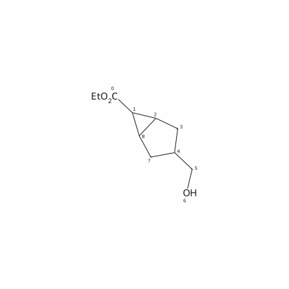 CCOC(=O)C1C2CC(CO)CC21